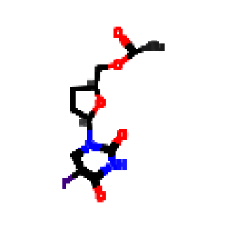 CC(C)(C)C(=O)OC[C@@H]1CC[C@H](n2cc(I)c(=O)[nH]c2=O)O1